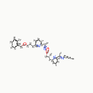 CO/N=C(\C)c1cccc(CCCO/N=C(\C)c2cccc(CCCOCc3ccccc3)n2)n1